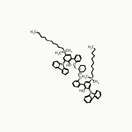 CCCCCCCCCC[Si](C)(C)c1cc(-c2ccccc2OC[C@@H]2CCCC[C@H]2COc2ccccc2-c2cc([Si](C)(C)CCCCCCCCCC)cc(-n3c4ccccc4c4ccccc43)c2O)c(O)c(-n2c3ccccc3c3ccccc32)c1